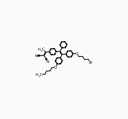 CCCCCOc1ccc(C(=C(c2ccccc2)c2ccc(C(C)=C(C#N)C#N)cc2)c2ccc(OCCCCBr)cc2)cc1